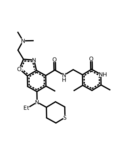 CCN(c1cc2oc(CN(C)C)nc2c(C(=O)NCc2c(C)cc(C)[nH]c2=O)c1C)C1CCSCC1